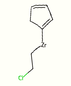 ClC[CH2][Zr][C]1=CC=CC1